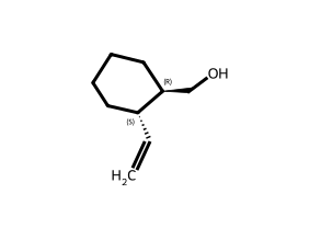 C=C[C@@H]1CCCC[C@H]1CO